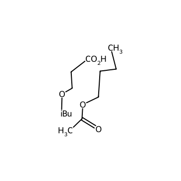 CCC(C)OCCC(=O)O.CCCCOC(C)=O